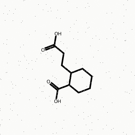 O=C(O)CCC1C[CH]CCC1C(=O)O